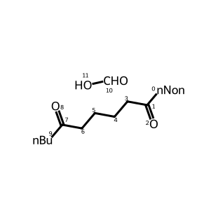 CCCCCCCCCC(=O)CCCCC(=O)CCCC.O=CO